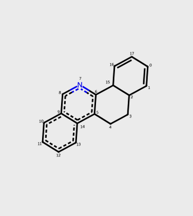 C1=CC2CCc3c(ncc4ccccc34)C2C=C1